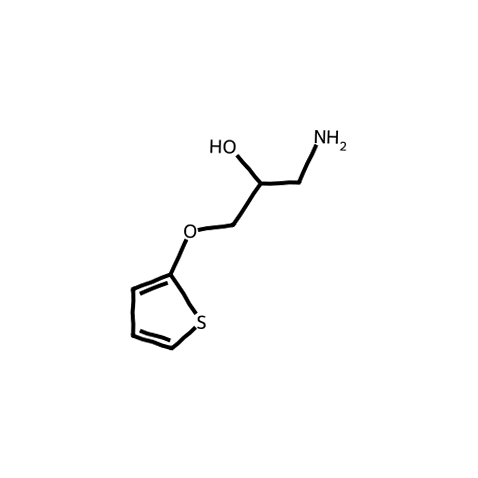 NCC(O)COc1cccs1